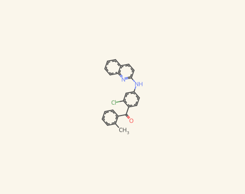 Cc1ccccc1C(=O)c1ccc(Nc2ccc3ccccc3n2)cc1Cl